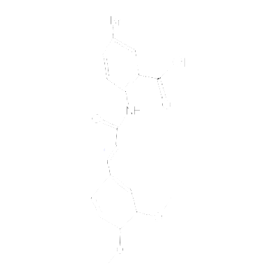 COC1C=CC(/C=C/C(=O)Nc2ccc(Br)cc2C(=O)O)=CC1OC